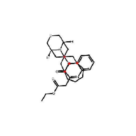 CCOC(=O)Cc1nc2ccccc2n(C2C[C@H]3COC[C@@H](C2)N3C2CC3CCCCC(C3)C2)c1=O